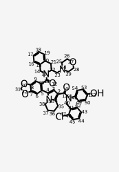 O=C(c1cc(-c2cc3c(cc2C(=O)N2Cc4ccccc4CC2CN2CCOCC2)OCO3)n2c1CCCC2)N(Cc1ccccc1Cl)c1ccc(O)cc1